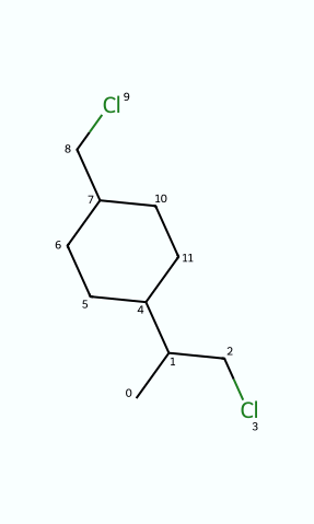 CC(CCl)C1CCC(CCl)CC1